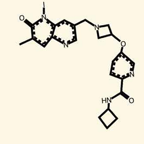 Cc1cc2ncc(CN3CC(Oc4ccc(C(=O)NC5CCC5)nc4)C3)cc2n(I)c1=O